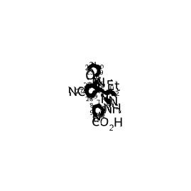 CCc1cnc(N[C@H]2CCCN(C(=O)O)C2)nc1-c1nn(C2CCCCO2)c2cc(C#N)ccc12